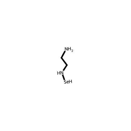 NCCN[SeH]